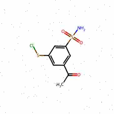 CC(=O)c1cc(SCl)cc(S(N)(=O)=O)c1